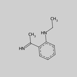 CCNc1ccccc1C(C)=N